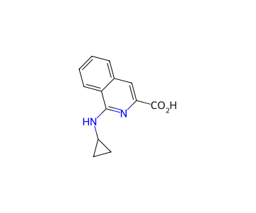 O=C(O)c1cc2ccccc2c(NC2CC2)n1